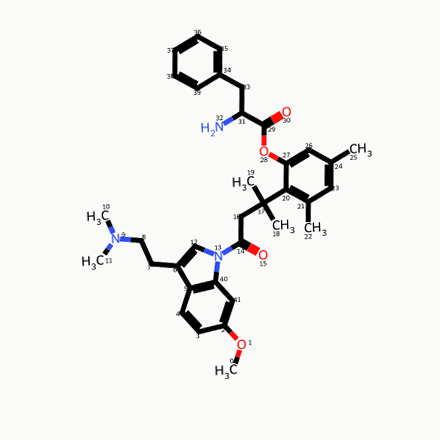 COc1ccc2c(CCN(C)C)cn(C(=O)CC(C)(C)c3c(C)cc(C)cc3OC(=O)C(N)Cc3ccccc3)c2c1